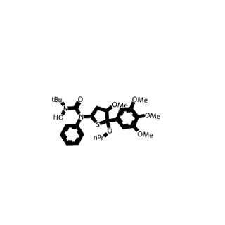 CCCOC1(c2cc(OC)c(OC)c(OC)c2)SC(N(C(=O)N(O)C(C)(C)C)c2ccccc2)CC1OC